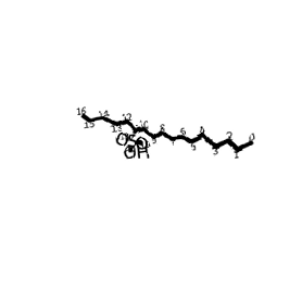 CCCCCCCCCCCC(CCCCC)S(=O)(=O)O